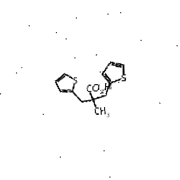 CC(Cc1cccs1)(Cc1cccs1)C(=O)O